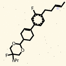 C/C=C/CCc1ccc(C2=CCC(C3OCC(F)(CCC)CO3)CC2)cc1F